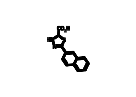 O=C(O)C1NN=C(c2ccc3ccccc3c2)S1